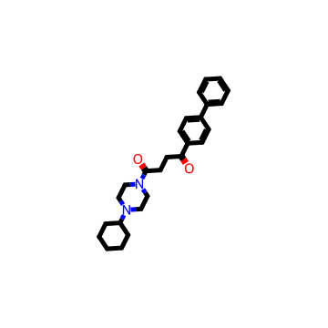 O=C(CCC(=O)N1CCN(C2CCCCC2)CC1)c1ccc(-c2ccccc2)cc1